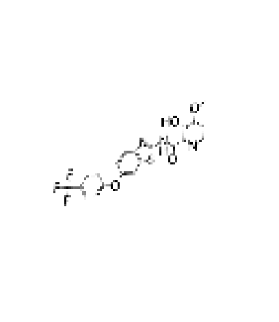 COc1ccnc(C(=O)Nc2nc3ccc(Oc4ccc(C(F)(F)F)cc4)cc3s2)c1O